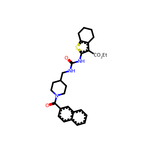 CCOC(=O)c1c(NC(=O)NCC2CCN(C(=O)c3ccc4ccccc4c3)CC2)sc2c1CCCC2